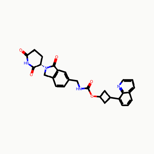 O=C1CC[C@H](N2Cc3ccc(CNC(=O)OC4CC(c5cccc6cccnc56)C4)cc3C2=O)C(=O)N1